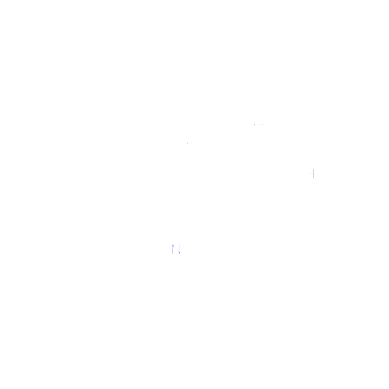 CC(O)c1cc(Cl)ncc1Oc1ccccc1